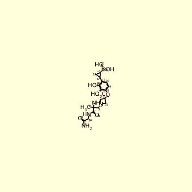 CC(N)(CN1CC(Oc2ccc(C3CC3B(O)O)c(O)c2C(=O)O)C1)C(=O)NCC(N)=O